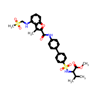 COC(=O)C(NS(=O)(=O)c1ccc(-c2ccc(NC(=O)c3oc4cccc(NCS(C)(=O)=O)c4c3C)cc2)cc1)C(C)C